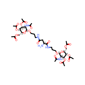 CC(=O)N[C@H]1[C@H](OCCCNC(=O)C[C@H](N)C(=O)NCCCO[C@@H]2O[C@H](COC(C)=O)[C@H](OC(C)=O)[C@H](OC(C)=O)[C@H]2NC(C)=O)O[C@H](COC(C)=O)[C@H](OC(C)=O)[C@@H]1OC(C)=O